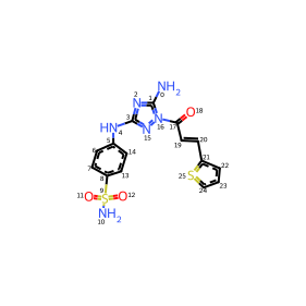 Nc1nc(Nc2ccc(S(N)(=O)=O)cc2)nn1C(=O)C=Cc1cccs1